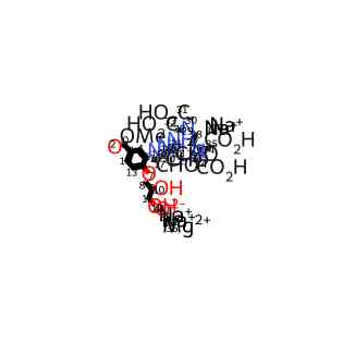 COC(=O)c1ccc(OCC(O)CO)cc1.NCC=O.NCC=O.NCC=O.O=C(O)CN(CCN(CC(=O)O)CC(=O)O)CC(=O)O.[Mg+2].[Na+].[Na+].[Na+].[Na+].[O-2]